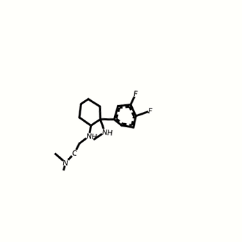 CNC1(c2ccc(F)c(F)c2)CCCCC1NCCN(C)C